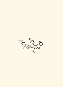 COc1cc(C(C)C)c(C=CC(O)CC(O)CC(=O)O)c(-c2ccc(F)cc2)c1Cc1ccccn1